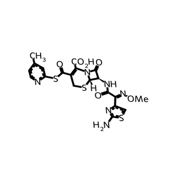 CON=C(C(=O)N[C@@H]1C(=O)N2C(C(=O)O)=C(C(=O)Sc3cc(C)ccn3)CS[C@@H]12)c1csc(N)n1